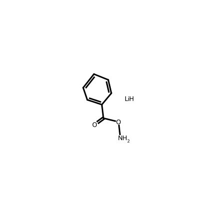 NOC(=O)c1ccccc1.[LiH]